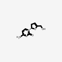 Nc1ccn([C@@H]2CC=C(CO)O2)c(=O)n1